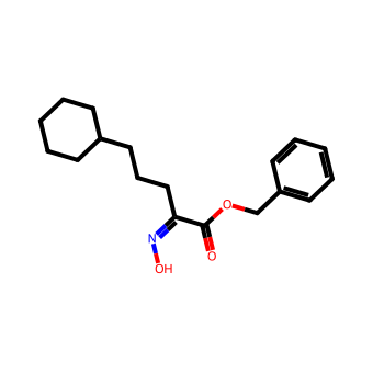 O=C(OCc1ccccc1)/C(CCCC1CCCCC1)=N\O